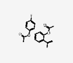 C=C(C)c1ccccc1OC(C)=O.CC(=O)Oc1ccc(F)cc1